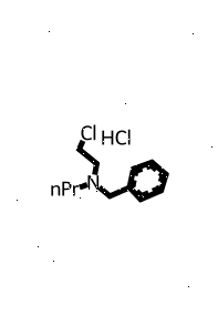 CCCN(CCCl)Cc1ccccc1.Cl